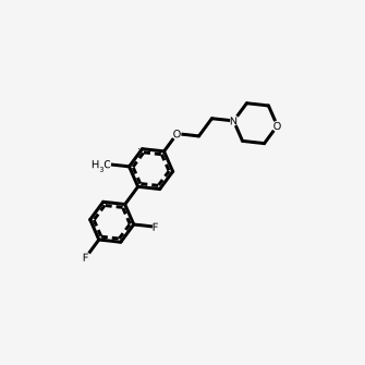 Cc1[c]c(OCCN2CCOCC2)ccc1-c1ccc(F)cc1F